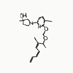 C=C/C=C\C=C(\C)C(C)OCOc1nc(N2CCC(C)(O)C2)ccc1C